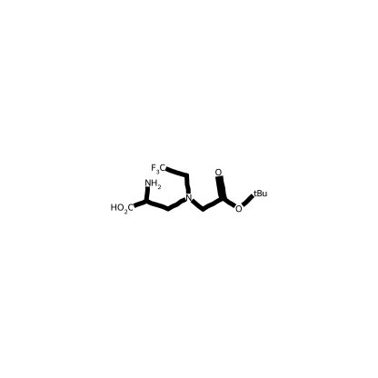 CC(C)(C)OC(=O)CN(CC(N)C(=O)O)CC(F)(F)F